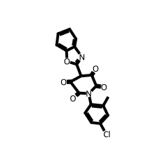 Cc1cc(Cl)ccc1N1C(=O)C(=O)C(c2nc3ccccc3o2)C(=O)C1=O